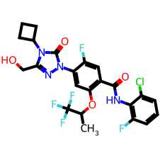 CC(Oc1cc(-n2nc(CO)n(C3CCC3)c2=O)c(F)cc1C(=O)Nc1c(F)cccc1Cl)C(F)(F)F